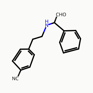 N#Cc1ccc(CCNC(C=O)c2ccccc2)cc1